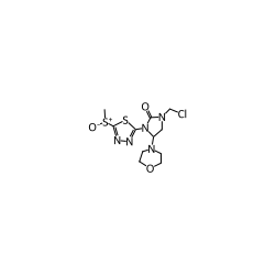 C[S+]([O-])c1nnc(N2C(=O)N(CCl)CC2N2CCOCC2)s1